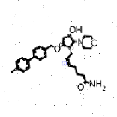 Cc1ccc(-c2ccc(CO[C@H]3C[C@@H](O)[C@H](N4CCOCC4)[C@H]3C/C=C\CCCC(N)=O)cc2)cc1